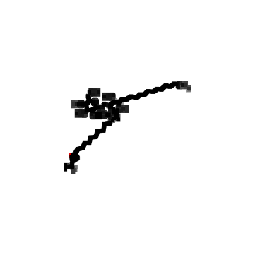 CCCCCCCCCCCCCC[C@@H](O)[C@@H](O)[C@H](COC1OC(CO)C(O)C(O)C1O)n1nnn(CCCCCCCCCCC23CC(C(F)F)(C2)C3)c1=O